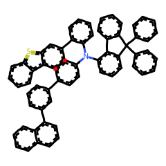 c1ccc(C2(c3ccccc3)c3ccccc3-c3c(N(c4ccc(-c5cccc(-c6cccc7ccccc67)c5)cc4)c4ccccc4-c4ccc5c(c4)sc4ccccc45)cccc32)cc1